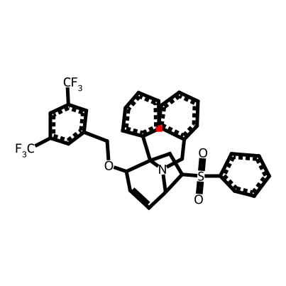 O=S(=O)(c1ccccc1)C1CC2(c3ccccc3)C(OCc3cc(C(F)(F)F)cc(C(F)(F)F)c3)C=CC1N2Cc1ccccc1